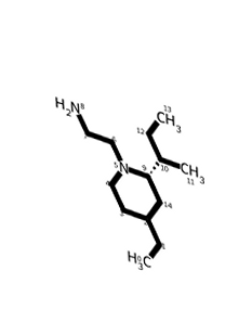 CCC1CCN(CCN)[C@H](C(C)CC)C1